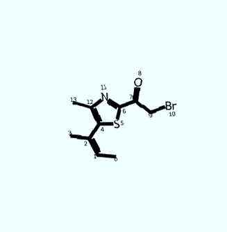 C/C=C(/C)c1sc(C(=O)CBr)nc1C